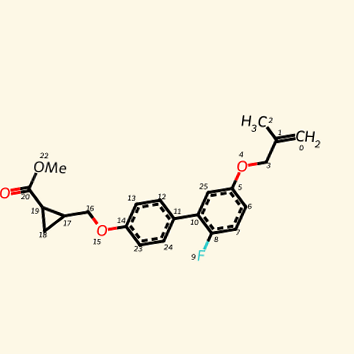 C=C(C)COc1ccc(F)c(-c2ccc(OCC3CC3C(=O)OC)cc2)c1